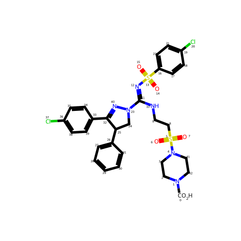 O=C(O)N1CCN(S(=O)(=O)CCN/C(=N\S(=O)(=O)c2ccc(Cl)cc2)N2CC(c3ccccc3)C(c3ccc(Cl)cc3)=N2)CC1